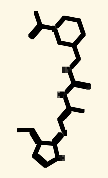 C=C(C)N1CCCC(CNC(=O)N/C(C)=C/N=C2/NC=CC2=CC)C1